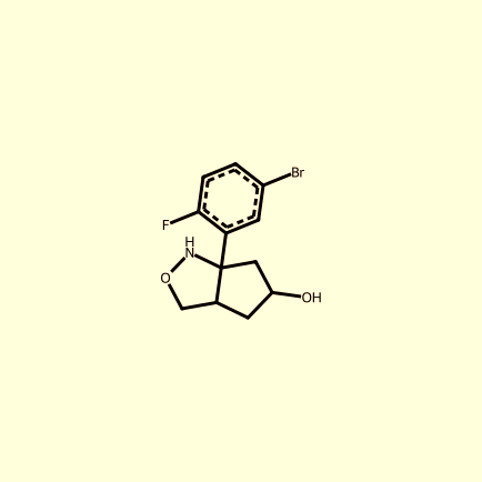 OC1CC2CONC2(c2cc(Br)ccc2F)C1